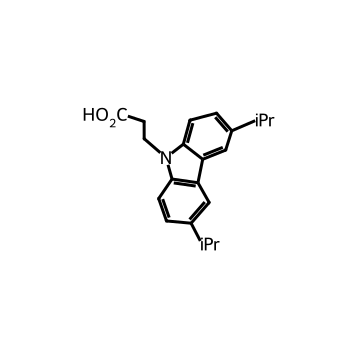 CC(C)c1ccc2c(c1)c1cc(C(C)C)ccc1n2CCC(=O)O